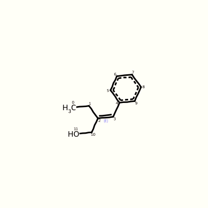 CC/C(=C\c1ccccc1)CO